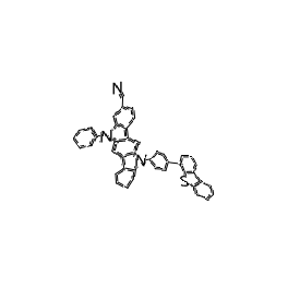 N#Cc1ccc2c3cc4c(cc3n(-c3ccccc3)c2c1)c1ccccc1n4-c1ccc(-c2cccc3c2sc2ccccc23)cc1